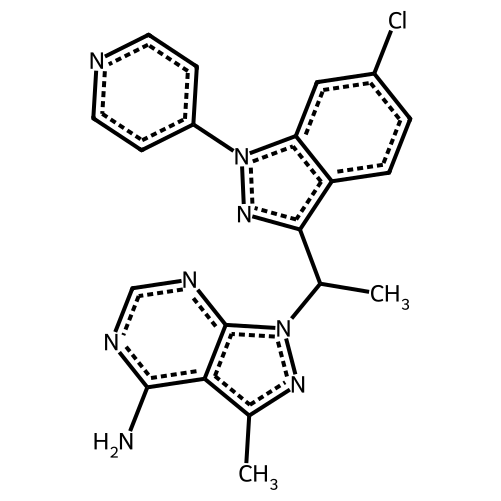 Cc1nn(C(C)c2nn(-c3ccncc3)c3cc(Cl)ccc23)c2ncnc(N)c12